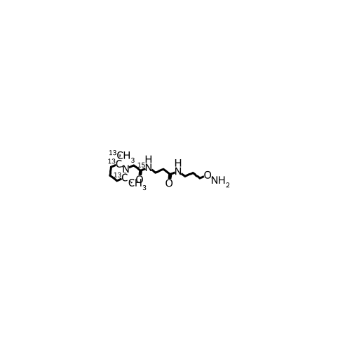 C[13C@@H]1CCC[13C@H]([13CH3])N1CC(=O)[15NH]CCC(=O)NCCCON